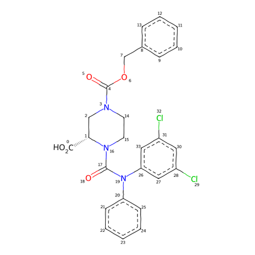 O=C(O)[C@@H]1CN(C(=O)OCc2ccccc2)CCN1C(=O)N(c1ccccc1)c1cc(Cl)cc(Cl)c1